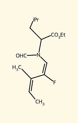 C/C=C(C)\C(F)=C/N(C=O)C(CC(C)C)C(=O)OCC